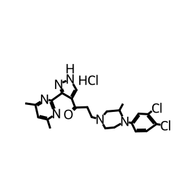 Cc1cc(C)nc(-c2n[nH]cc2C(=O)CCN2CCN(c3ccc(Cl)c(Cl)c3)C(C)C2)n1.Cl